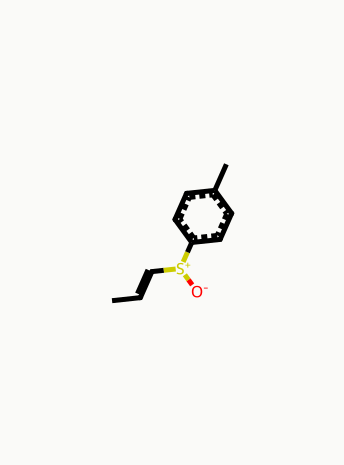 CC=C[S+]([O-])c1ccc(C)cc1